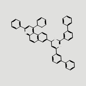 C1=CCC(c2cc(-c3ccccc3)nc3ccc4cc(C5C=C(c6cccc(-c7ccccc7)c6)N=C(c6cccc(-c7ccccc7)c6)N5)ccc4c23)C=C1